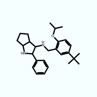 CC(C)Oc1ccc(C(C)(C)C)cc1CNC1C(c2ccccc2)NC2CCCC21